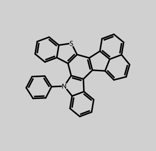 c1ccc(-n2c3ccccc3c3c4c(c5sc6ccccc6c5c32)-c2cccc3cccc-4c23)cc1